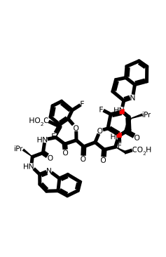 CC(C)[C@H](Nc1ccc2ccccc2n1)C(=O)N[C@@H](CC(=O)O)C(=O)C(Oc1c(F)cccc1F)C(=O)C(Oc1c(F)cccc1F)C(=O)[C@H](CC(=O)O)NC(=O)[C@@H](Nc1ccc2ccccc2n1)C(C)C